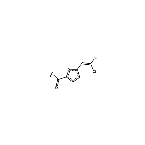 CC(=O)c1ccc(C=C(Cl)Cl)s1